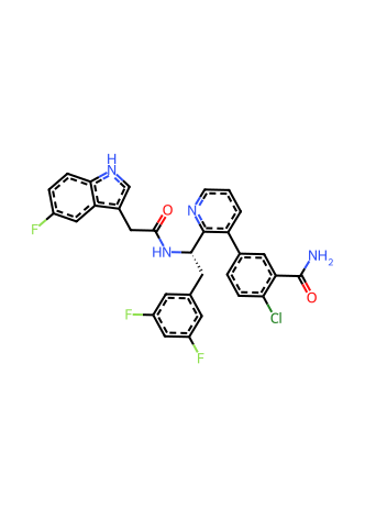 NC(=O)c1cc(-c2cccnc2[C@H](Cc2cc(F)cc(F)c2)NC(=O)Cc2c[nH]c3ccc(F)cc23)ccc1Cl